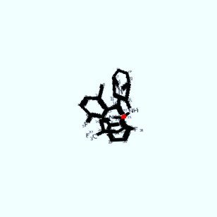 Cc1ccc(F)c(-c2ncccn2)c1C(=O)N1C2CCC1C(Nc1ncc(C(F)(F)F)cc1F)C2